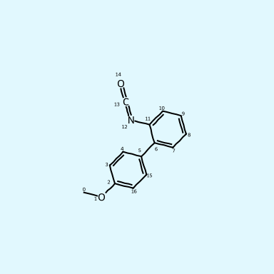 COc1ccc(-c2ccccc2N=C=O)cc1